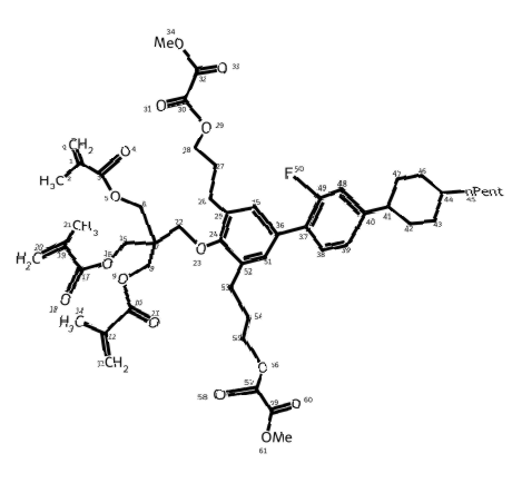 C=C(C)C(=O)OCC(COC(=O)C(=C)C)(COC(=O)C(=C)C)COc1c(CCCOC(=O)C(=O)OC)cc(-c2ccc(C3CCC(CCCCC)CC3)cc2F)cc1CCCOC(=O)C(=O)OC